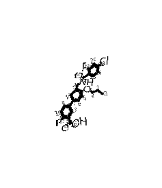 CCCOc1ccc(-c2ccc(F)c(C(=O)O)c2)cc1CNC(=O)c1ccc(Cl)cc1F